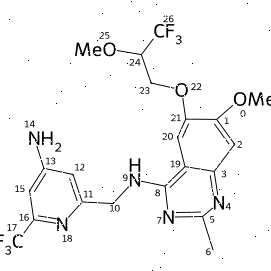 COc1cc2nc(C)nc(NCc3cc(N)cc(C(F)(F)F)n3)c2cc1OCC(OC)C(F)(F)F